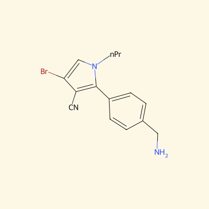 CCCn1cc(Br)c(C#N)c1-c1ccc(CN)cc1